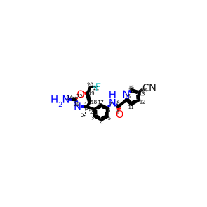 C[C@@]1(c2cccc(NC(=O)c3ccc(C#N)cn3)c2)C=C(CF)OC(N)=N1